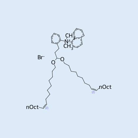 CCCCCCCC/C=C\CCCCCCCCOC(CCc1ccccc1[N+](C)(C)c1cccc2ccccc12)OCCCCCCCC/C=C\CCCCCCCC.[Br-]